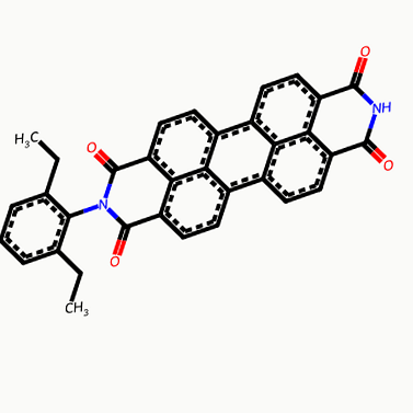 CCc1cccc(CC)c1N1C(=O)c2ccc3c4ccc5c6c(ccc(c7ccc(c2c37)C1=O)c64)C(=O)NC5=O